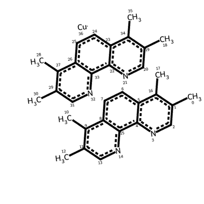 Cc1cnc2c(ccc3c(C)c(C)cnc32)c1C.Cc1cnc2c(ccc3c(C)c(C)cnc32)c1C.[Cu]